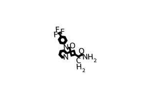 C=C(C(N)=O)C1CC2(C1)C(=O)N(c1ccc(C(F)(F)F)cc1)c1cccnc12